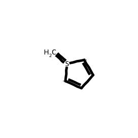 C=S1[C]=CC=[C]1